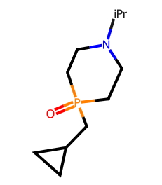 CC(C)N1CCP(=O)(CC2CC2)CC1